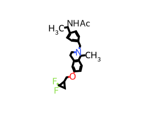 CC(=O)N[C@@H](C)c1ccc(CN2CCc3cc(OCC4CC4(F)F)ccc3C2C)cc1